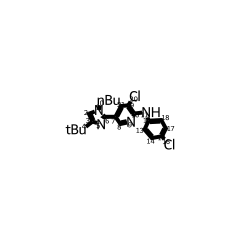 CCCCn1cc(C(C)(C)C)nc1-c1cnc(Nc2ccc(Cl)cc2)c(Cl)c1